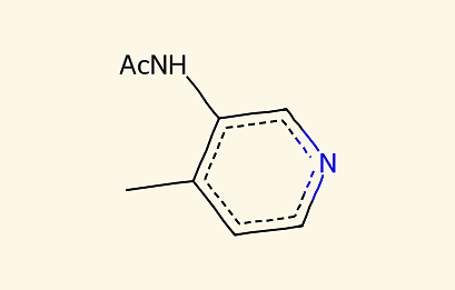 CC(=O)Nc1cnccc1C